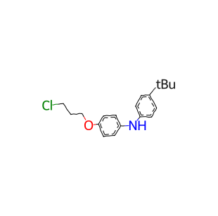 CC(C)(C)c1ccc(Nc2ccc(OCCCCl)cc2)cc1